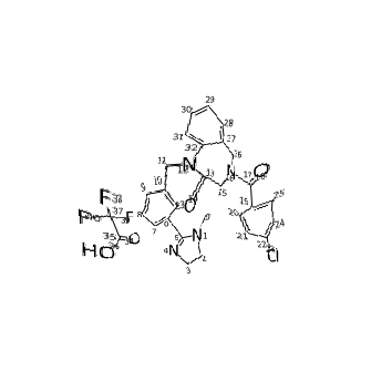 CN1CCN=C1c1cccc(CN2C(=O)CN(C(=O)c3ccc(Cl)cc3)Cc3ccccc32)c1.O=C(O)C(F)(F)F